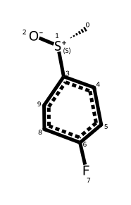 C[S@@+]([O-])c1ccc(F)cc1